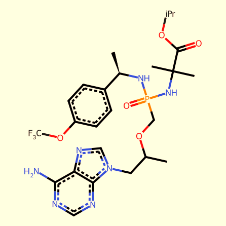 CC(C)OC(=O)C(C)(C)NP(=O)(COC(C)Cn1cnc2c(N)ncnc21)N[C@H](C)c1ccc(OC(F)(F)F)cc1